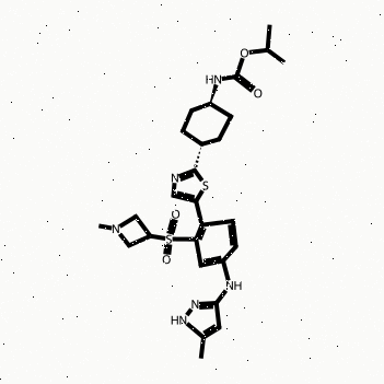 Cc1cc(Nc2ccc(-c3cnc([C@H]4CC[C@H](NC(=O)OC(C)C)CC4)s3)c(S(=O)(=O)C3CN(C)C3)c2)n[nH]1